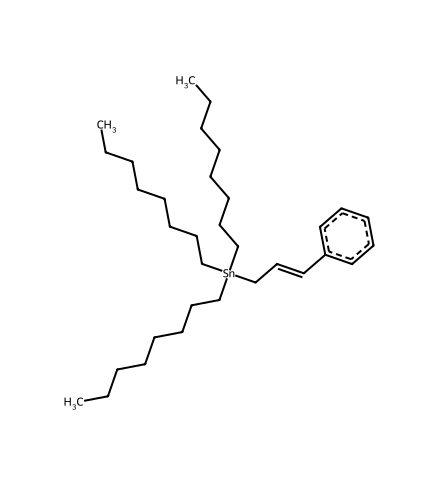 CCCCCCC[CH2][Sn]([CH2]C=Cc1ccccc1)([CH2]CCCCCCC)[CH2]CCCCCCC